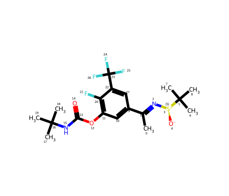 CC(=N[S@+]([O-])C(C)(C)C)c1cc(OC(=O)NC(C)(C)C)c(F)c(C(F)(F)F)c1